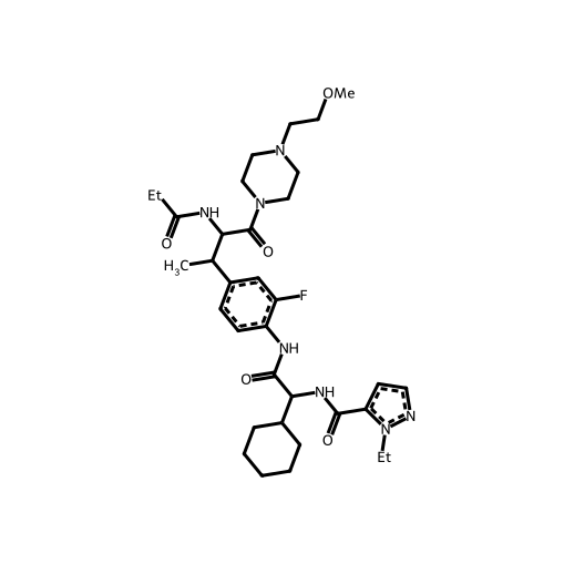 CCC(=O)NC(C(=O)N1CCN(CCOC)CC1)C(C)c1ccc(NC(=O)C(NC(=O)c2ccnn2CC)C2CCCCC2)c(F)c1